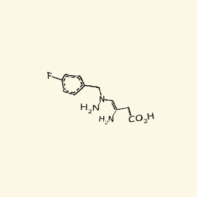 N/C(=C\N(N)Cc1ccc(F)cc1)CC(=O)O